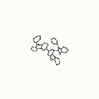 c1ccc(-n2c(-c3cc(-c4ccc5c(c4)c4ccccc4n5-c4ccccc4)cc4oc5ccccc5c34)nc3ccccc32)cc1